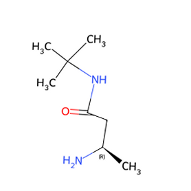 C[C@@H](N)CC(=O)NC(C)(C)C